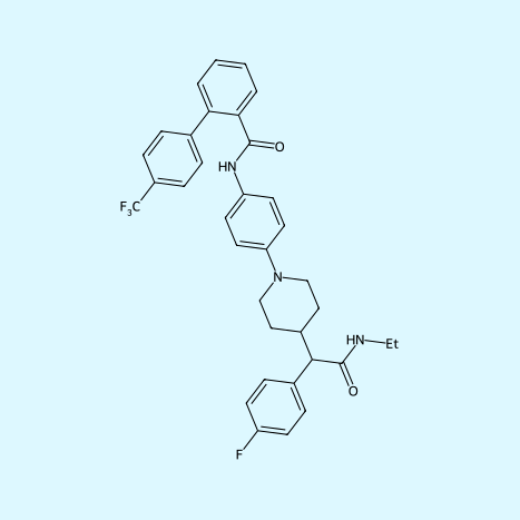 CCNC(=O)C(c1ccc(F)cc1)C1CCN(c2ccc(NC(=O)c3ccccc3-c3ccc(C(F)(F)F)cc3)cc2)CC1